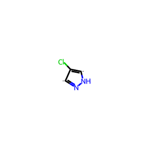 Clc1[c]n[nH][c]1